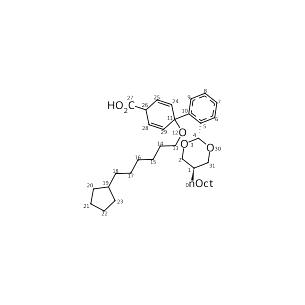 CCCCCCCC[C@H]1CO[C@H](c2ccccc2C2(OCCCCCCC3CCCC3)C=CC(C(=O)O)C=C2)OC1